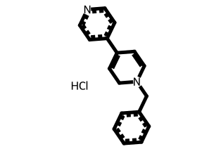 C1=CN(Cc2ccccc2)CC=C1c1ccncc1.Cl